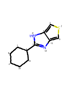 c1scc2[nH]c(C3CCCCC3)nc12